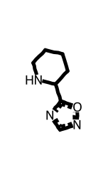 c1noc(C2CCCCN2)n1